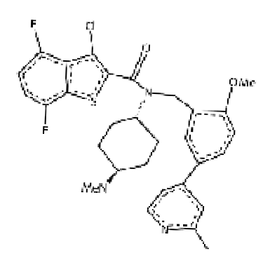 CN[C@H]1CC[C@H](N(Cc2cc(-c3ccnc(C)c3)ccc2OC)C(=O)c2sc3c(F)ccc(F)c3c2Cl)CC1